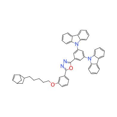 C1=CC2CC1CC2CCCCCOc1cccc(-c2nnc(-c3cc(-n4c5ccccc5c5ccccc54)cc(-n4c5ccccc5c5ccccc54)c3)o2)c1